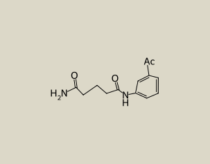 CC(=O)c1cccc(NC(=O)CCCC(N)=O)c1